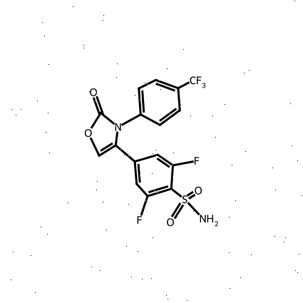 NS(=O)(=O)c1c(F)cc(-c2coc(=O)n2-c2ccc(C(F)(F)F)cc2)cc1F